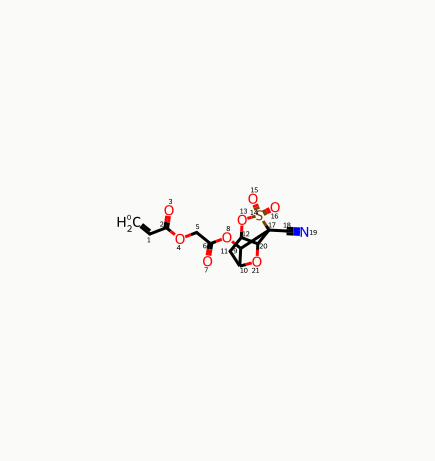 C=CC(=O)OCC(=O)OC1C2CC3OS(=O)(=O)C1(C#N)C3O2